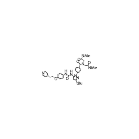 CNC(=O)CN(CC(=O)NC)C(=O)c1ccc(-n2nc(C(C)(C)C)cc2NC(=O)Nc2ccc(OCCc3ccncc3)cc2)cc1